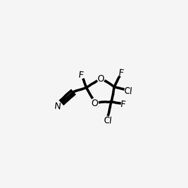 N#CC1(F)OC(F)(Cl)C(F)(Cl)O1